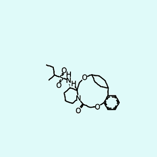 CCC(C)S(=O)(=O)N[C@H]1CCCN2C(=O)COc3ccccc3C3CCC(CC3)OC[C@@H]12